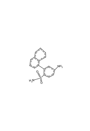 Nc1ccc(S(N)(=O)=O)c(-c2cccc3ccccc23)c1